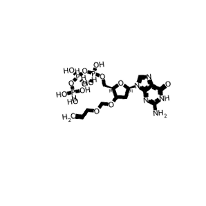 C=CCOCOC1C[C@H](n2cnc3c(=O)[nH]c(N)nc32)O[C@@H]1CO[PH](O)(O)O[PH](O)(O)O[PH](O)(O)O